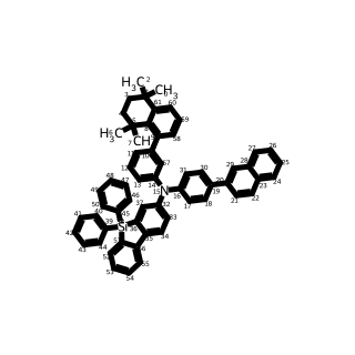 CC1(C)CCC(C)(C)c2c(-c3cccc(N(c4ccc(-c5ccc6ccccc6c5)cc4)c4ccc5c(c4)[Si](c4ccccc4)(c4ccccc4)c4ccccc4-5)c3)cccc21